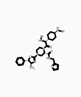 CC(C)NC(C(=O)N1CCN(C2=N[C@@H](C)[C@H](c3ccccc3)O2)C[C@H]1C(=O)NCc1cccs1)[C@H]1CC[C@H](NC(C)C)CC1